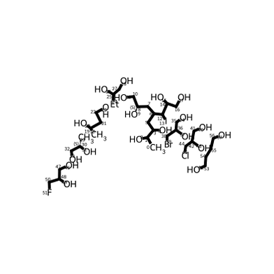 CC(O)C(O)CC(C[C@H](O)CO)C(I)C(O)CO.CC(O)CCO.CCC(O)CO.C[C@H](O)CO.OCC(O)CBr.OCC(O)CCl.OCC(O)CF.OCCCCO